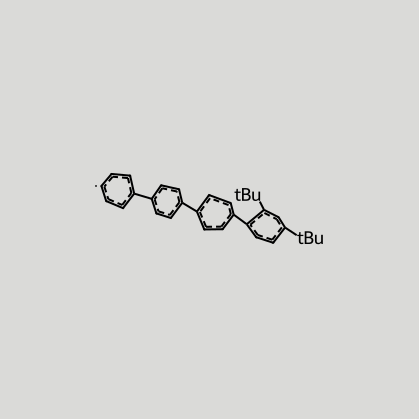 CC(C)(C)c1ccc(-c2ccc(-c3ccc(-c4cc[c]cc4)cc3)cc2)c(C(C)(C)C)c1